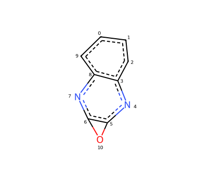 c1ccc2nc3c(nc2c1)O3